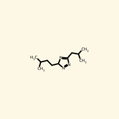 CC(C)CCC1N=NC(CC(C)C)=N1